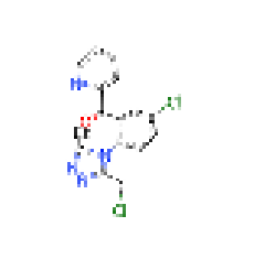 CCc1nnc(CCl)n1-c1ccc(Cl)cc1C(=O)c1ccccn1